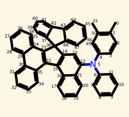 Cc1ccc(N(c2ccccc2)c2cc3c(c4ccccc24)-c2c(c4ccccc4c4ccccc24)C32c3ccccc3-c3ccccc32)cc1C